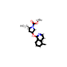 Cc1cccc2c(OC3C[C@@H](C(=O)O)N(C(=O)OC(C)(C)C)C3)nccc12